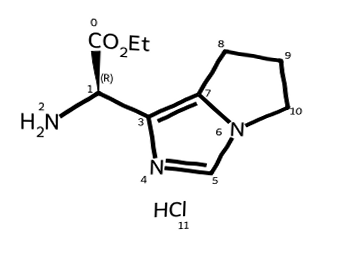 CCOC(=O)[C@H](N)c1ncn2c1CCC2.Cl